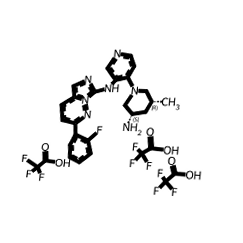 C[C@@H]1C[C@H](N)CN(c2ccncc2Nc2ncc3ccc(-c4ccccc4F)nn23)C1.O=C(O)C(F)(F)F.O=C(O)C(F)(F)F.O=C(O)C(F)(F)F